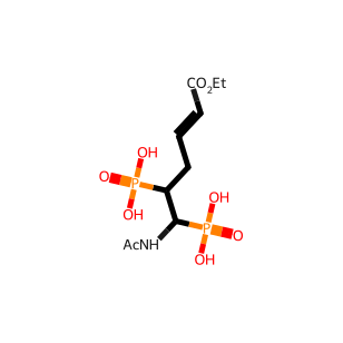 CCOC(=O)C=CCC(C(NC(C)=O)P(=O)(O)O)P(=O)(O)O